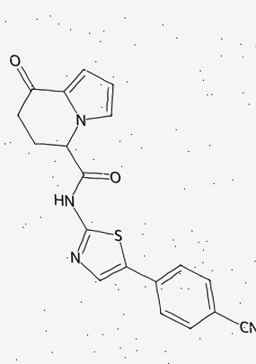 N#Cc1ccc(-c2cnc(NC(=O)C3CCC(=O)c4cccn43)s2)cc1